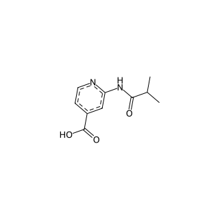 CC(C)C(=O)Nc1cc(C(=O)O)ccn1